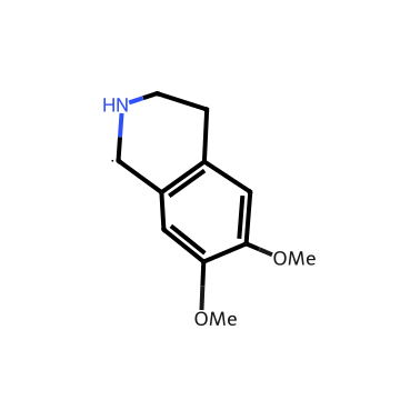 COc1cc2c(cc1OC)CCN[CH]2